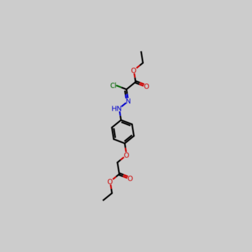 CCOC(=O)COc1ccc(NN=C(Cl)C(=O)OCC)cc1